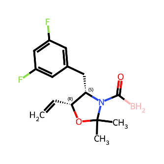 BC(=O)N1[C@@H](Cc2cc(F)cc(F)c2)[C@@H](C=C)OC1(C)C